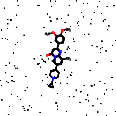 COc1ccc(-c2cc(=O)n3cc(C4=CCN(C5CC5)CC4)cc(C)c3n2)cc1OC